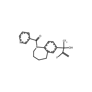 C=C(F)C(O)(c1ccc2c(c1)CCCCN2C(=O)c1cccnc1)C(F)(F)F